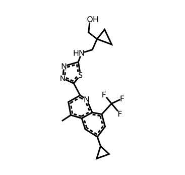 Cc1cc(-c2nnc(NCC3(CO)CC3)s2)nc2c(C(F)(F)F)cc(C3CC3)cc12